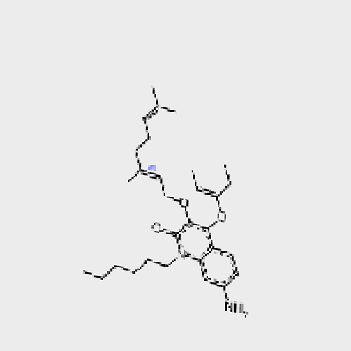 CC=C(CC)Oc1c(OC/C=C(\C)CCC=C(C)C)c(=O)n(CCCCCC)c2cc(N)ccc12